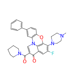 CN1CCN(c2c(F)cc3c(=O)c(C(=O)N4CCCCC4)cn4c3c2Oc2ccc(-c3ccccc3)cc2-4)CC1